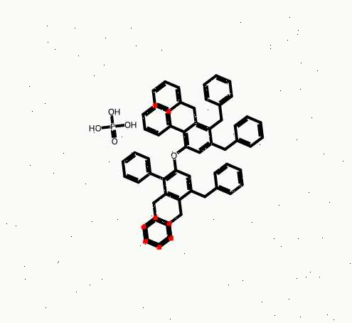 O=P(O)(O)O.c1ccc(Cc2cc(Oc3cc(Cc4ccccc4)c(Cc4ccccc4)c(Cc4ccccc4)c3-c3ccccc3)c(-c3ccccc3)c(Cc3ccccc3)c2Cc2ccccc2)cc1